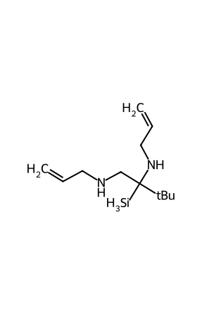 C=CCNCC([SiH3])(NCC=C)C(C)(C)C